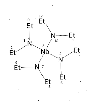 CC[N](CC)[Nb]([N](CC)CC)([N](CC)CC)[N](CC)CC